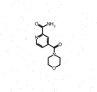 NC(=O)c1cc(C(=O)N2CCOCC2)ccn1